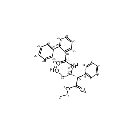 CCOC(=O)[C@@H](c1ccccc1)C(CO)NC(=O)c1ccccc1-c1ccccc1